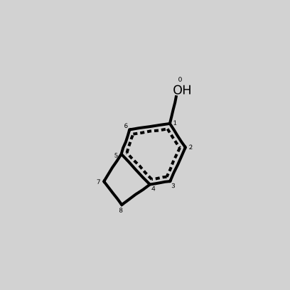 Oc1ccc2c(c1)CC2